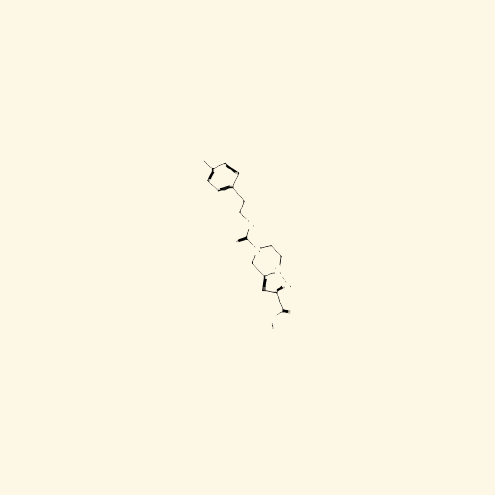 COC(=O)c1cc2n(n1)CCN(C(=O)NCCc1ccc(F)cc1)C2